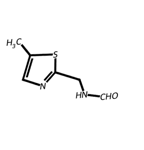 Cc1cnc(CNC=O)s1